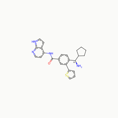 N[C@@H](c1ccc(C(=O)Nc2ccnc3[nH]ccc23)cc1-c1cccs1)C1CCCC1